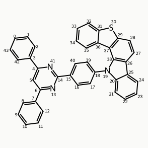 c1ccc(-c2cc(-c3ccccc3)nc(-c3ccc(-n4c5ccccc5c5ccc6sc7ccccc7c6c54)cc3)n2)cc1